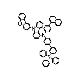 c1ccc([Si](c2ccccc2)(c2ccccc2)c2cccc(-c3ccc(N(c4ccc(-c5cccc6ccccc56)cc4)c4cccc5c4c4ccccc4n5-c4ccc5oc6ccccc6c5c4)cc3)c2)cc1